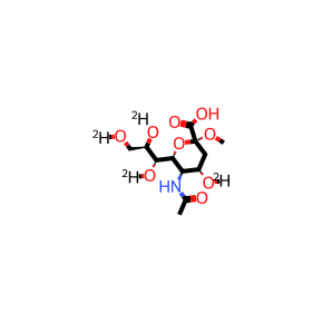 [2H]OC[C@@H](O[2H])[C@@H](O[2H])[C@@H]1O[C@@](OC)(C(=O)O)C[C@H](O[2H])[C@H]1NC(C)=O